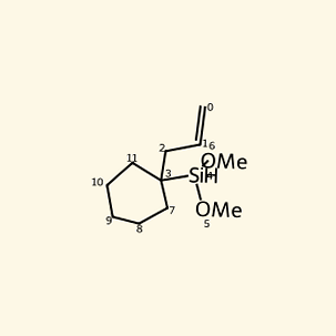 C=CCC1([SiH](OC)OC)CCCCC1